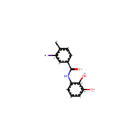 Cc1ccc(C(=O)Nc2cccc(O)c2O)cc1I